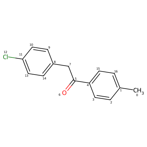 Cc1ccc(C(=O)Cc2ccc(Cl)cc2)cc1